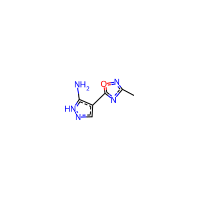 Cc1noc(-c2cn[nH]c2N)n1